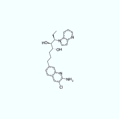 CC[C@H]([C@H](O)[C@H](O)CCCc1ccc2cc(Cl)c(N)nc2c1)n1ccc2ncccc21